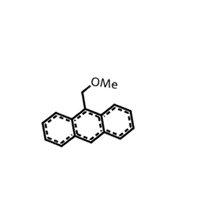 COCc1c2ccccc2cc2ccccc12